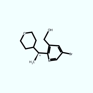 C[C@H](c1ncc(Br)cc1CO)C1CCOCC1